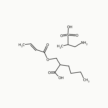 CC(CN)S(=O)(=O)O.CC=CC(=O)OCC(CCCC)C(=O)O